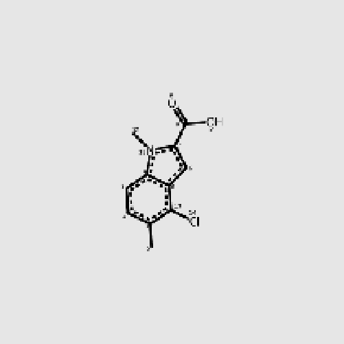 Cc1ccc2c(cc(C(=O)O)n2C)c1Cl